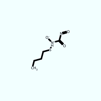 CCCCS[NH+]([O-])C(=O)N=O